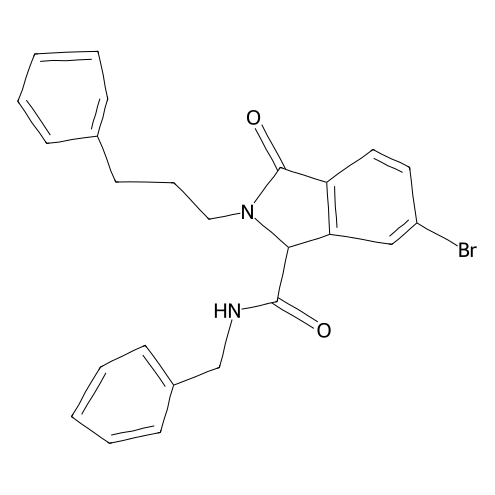 O=C(NCc1ccccc1)C1c2cc(Br)ccc2C(=O)N1CCCc1ccccc1